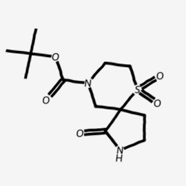 CC(C)(C)OC(=O)N1CCS(=O)(=O)C2(CCNC2=O)C1